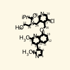 Cc1cc(-c2ccnn2C)c2cccc(OCc3c(Cl)cncc3CN(CCO)C(=O)C(C)C)c2n1